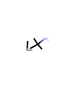 CC(C)(C)N.CNC